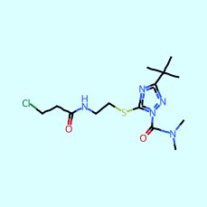 CN(C)C(=O)n1nc(C(C)(C)C)nc1SCCNC(=O)CCCl